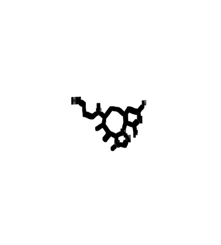 C=C1C(C)C(N(C)/C=C\C=N)CCc2cc(F)nc(F)c2N2N=CN(C)C12